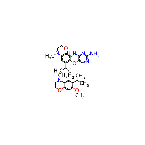 CC(C)c1cc2c(cc1Oc1cnc(N)nc1N)OCCN2C.COc1cc2c(cc1C(C)C)N(C)CCO2